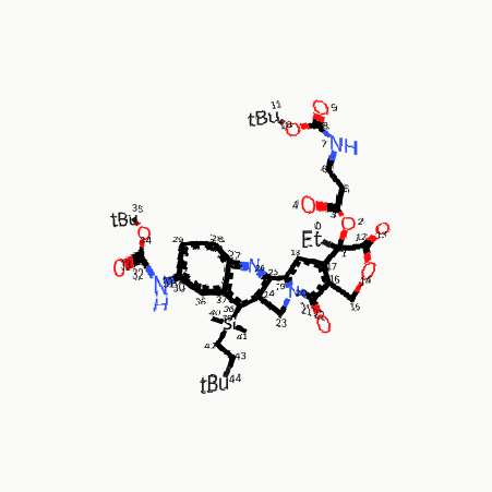 CCC1(OC(=O)CCNC(=O)OC(C)(C)C)C(=O)OCc2c1cc1n(c2=O)Cc2c-1nc1ccc(NC(=O)OC(C)(C)C)cc1c2[Si](C)(C)CCC(C)(C)C